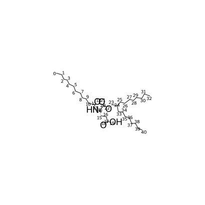 CCCCCCCCCCCC(=O)N[C@@H](CCC(=O)O)C(=O)OCC(CCCCCCCC)CCCCCCCC